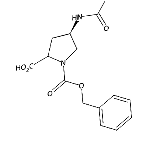 CC(C)(C)OC(=O)N[C@@H]1CC(C(=O)O)N(C(=O)OCc2ccccc2)C1